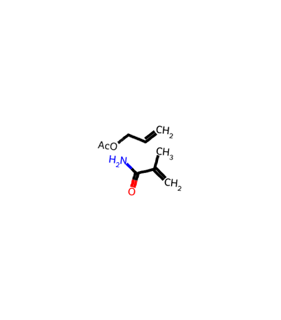 C=C(C)C(N)=O.C=CCOC(C)=O